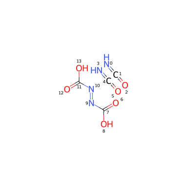 N=C=O.N=C=O.O=C(O)N=NC(=O)O